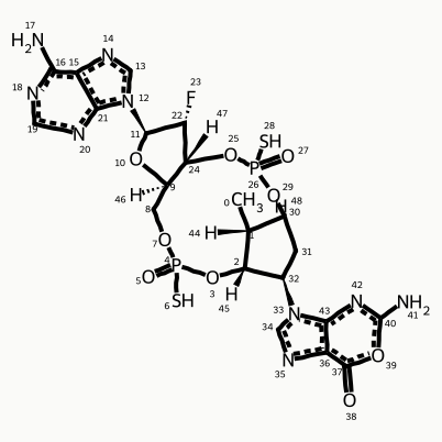 C[C@H]1[C@H]2OP(=O)(S)OC[C@H]3O[C@@H](n4cnc5c(N)ncnc54)[C@H](F)[C@@H]3OP(=O)(S)O[C@H]1C[C@H]2n1cnc2c(=O)oc(N)nc21